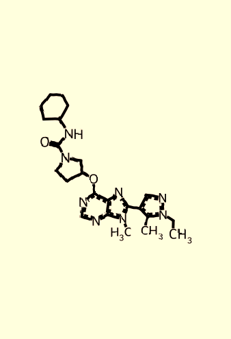 CCn1ncc(-c2nc3c(OC4CCN(C(=O)NC5CCCCC5)C4)ncnc3n2C)c1C